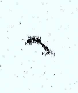 CC(C)(C)OC(=O)N1CCC(N2CC(C#Cc3ccc4c(n3)CN([C@H]3C(C)(C)[C@H](Oc5ccc(C#N)c(Cl)c5)C3(C)C)C4O)C2)CC1